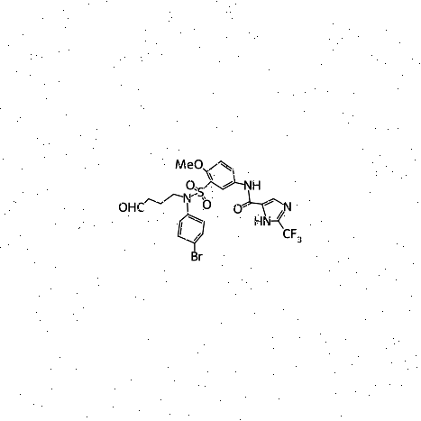 COc1ccc(NC(=O)c2cnc(C(F)(F)F)[nH]2)cc1S(=O)(=O)N(CCCC=O)c1ccc(Br)cc1